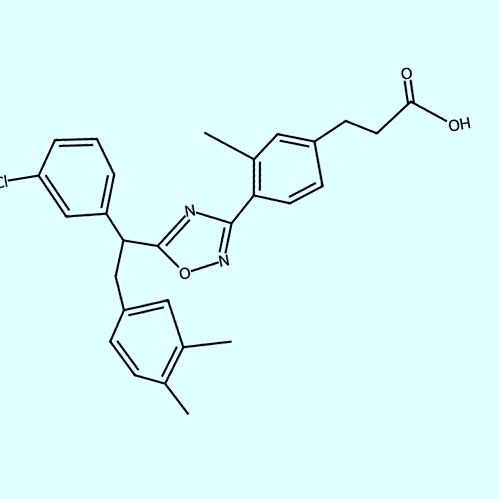 Cc1ccc(CC(c2cccc(Cl)c2)c2nc(-c3ccc(CCC(=O)O)cc3C)no2)cc1C